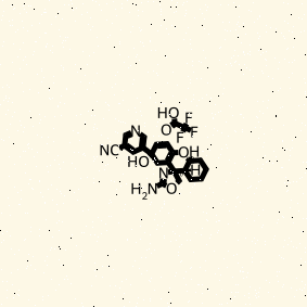 N#Cc1cncc(C2(O)C=CC3=C(C2)C2(COC(N)=N2)[C@H]2CCCC[C@@H]2O3)c1.O=C(O)C(F)(F)F